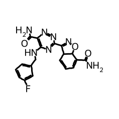 NC(=O)C1=CC=CC2C(c3nnc(C(N)=O)c(NCc4cccc(F)c4)n3)=NOC12